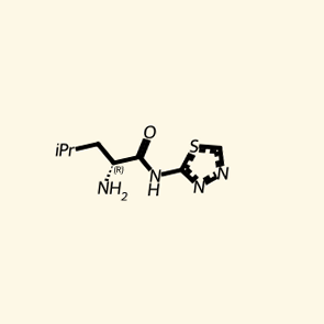 CC(C)C[C@@H](N)C(=O)Nc1nncs1